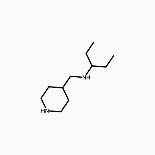 CCC(CC)NCC1CCNCC1